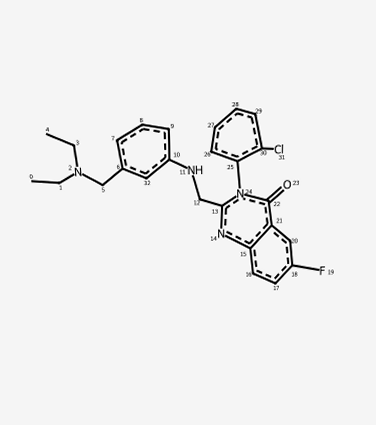 CCN(CC)Cc1cccc(NCc2nc3ccc(F)cc3c(=O)n2-c2ccccc2Cl)c1